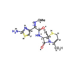 CO/N=C(\C(=O)NC1C(=O)N2C(C(=O)O)=CCS[C@@H]12)c1csc(N)n1